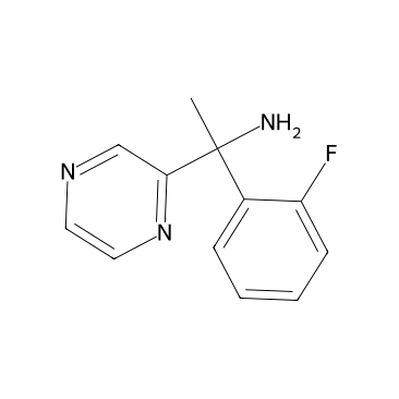 CC(N)(c1cnccn1)c1ccccc1F